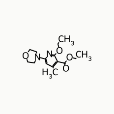 CCOC(=O)c1c(C)cc(N2CCOCC2)nc1OCC